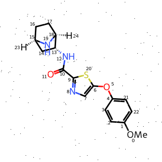 COc1ccc(Oc2cnc(C(=O)N[C@@H]3C[C@H]4CC[C@@H]3N4)s2)cc1